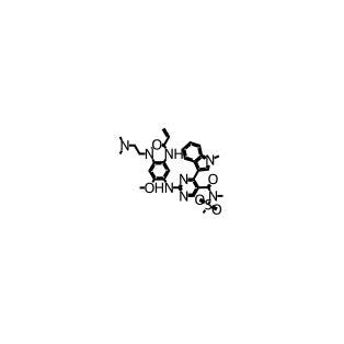 C=CC(=O)Nc1cc(Nc2ncc(C(=O)N(C)S(C)(=O)=O)c(-c3cn(C)c4ccccc34)n2)c(OC)cc1N(C)CCN(C)C